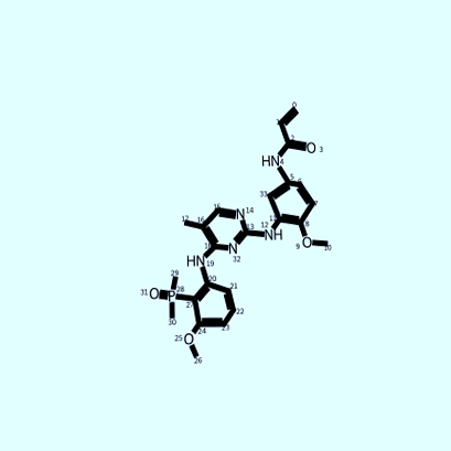 C=CC(=O)Nc1ccc(OC)c(Nc2ncc(C)c(Nc3cccc(OC)c3P(C)(C)=O)n2)c1